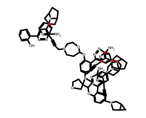 Nc1nnc(-c2ccccc2O)cc1N1CC2CCC(C1)N2c1ccnc(C#CCN2CCOC(Oc3ccccc3-c3cc(N4CC5CCC(C4)N5c4ccnc(C#CCN5CC(Oc6ccccc6-c6cc(N7CC8CCC(C7)N8c7ccnc(C#CCN8CC9CC9C8)c7)c(N)nn6)C56CCOC6)c4)c(N)nn3)CC2)c1